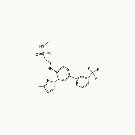 CNS(=O)(=O)CCNc1ccc(-c2cccc(C(F)(F)F)c2)cc1-c1ccn(C)n1